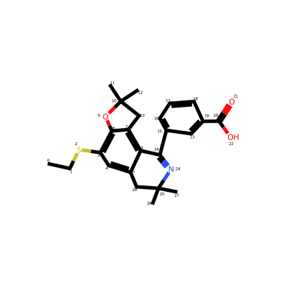 CCSc1cc2c(c3c1OC(C)(C)C3)C(c1cccc(C(=O)O)c1)=NC(C)(C)C2